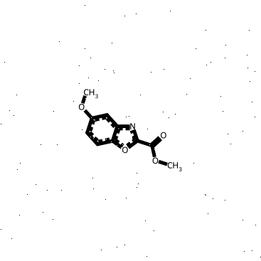 COC(=O)c1nc2cc(OC)ccc2o1